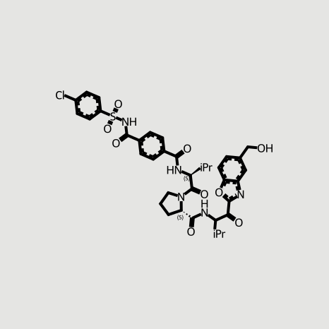 CC(C)C(NC(=O)[C@@H]1CCCN1C(=O)[C@@H](NC(=O)c1ccc(C(=O)NS(=O)(=O)c2ccc(Cl)cc2)cc1)C(C)C)C(=O)c1nc2cc(CO)ccc2o1